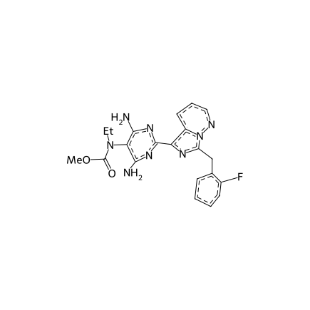 CCN(C(=O)OC)c1c(N)nc(-c2nc(Cc3ccccc3F)n3ncccc23)nc1N